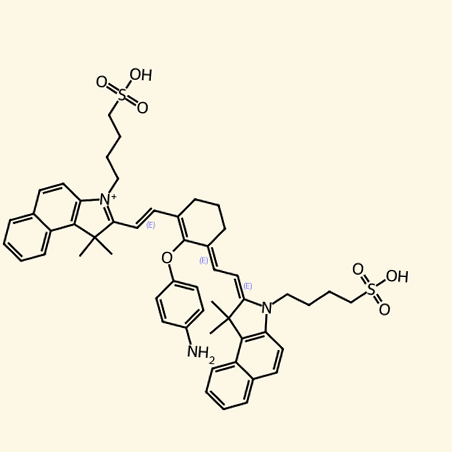 CC1(C)C(/C=C/C2=C(Oc3ccc(N)cc3)C(=C/C=C3/N(CCCCS(=O)(=O)O)c4ccc5ccccc5c4C3(C)C)/CCC2)=[N+](CCCCS(=O)(=O)O)c2ccc3ccccc3c21